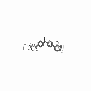 CC(C)(C)OC(=O)C1CCC(Nc2ccc(C3CCC(=O)NC3=O)cn2)CC1